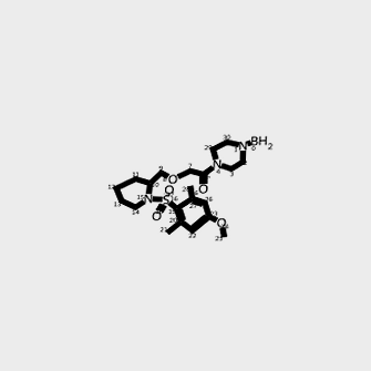 BN1CCN(C(=O)COCC2CCCCN2S(=O)(=O)c2c(C)cc(OC)cc2C)CC1